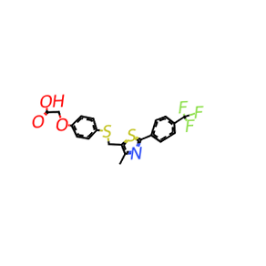 Cc1nc(-c2ccc(C(F)(F)F)cc2)sc1CSc1ccc(OCC(=O)O)cc1